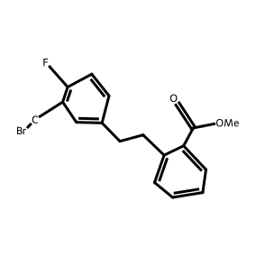 COC(=O)c1ccccc1CCc1ccc(F)c(CBr)c1